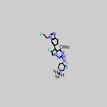 [2H]C([2H])([2H])N1CC[C@@H](Nc2nc(OC)c3c(-c4ccc5ncn(CCF)c5c4)c(F)cn3n2)C(F)(F)C1